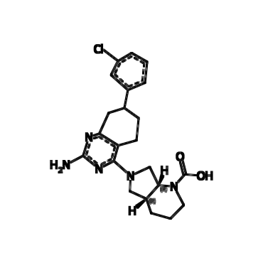 Nc1nc2c(c(N3C[C@H]4CCCN(C(=O)O)[C@H]4C3)n1)CCC(c1cccc(Cl)c1)C2